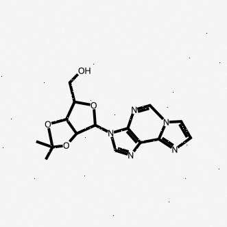 CC1(C)OC2C(CO)OC(n3cnc4c3ncn3ccnc43)C2O1